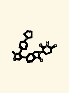 Cn1ncc(-c2ccc3c(c2)CN(C2CCC(=O)NC2=O)C3=O)c1-c1ccc(N2CCCC2)cc1